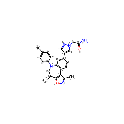 Cc1noc2c1-c1ccc(-c3cnn(CC(N)=O)c3)cc1N(c1ccc(C#N)cc1)CC2C